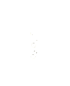 CC=CCN1CCC(C(=O)c2cccc(OS(=O)(=O)c3cccc(C)c3)c2)CC1